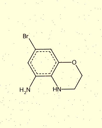 Nc1cc(Br)cc2c1NCCO2